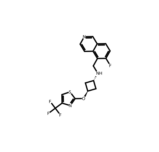 Fc1ccc2cnccc2c1CN[C@H]1C[C@H](Oc2nc(C(F)(F)F)cs2)C1